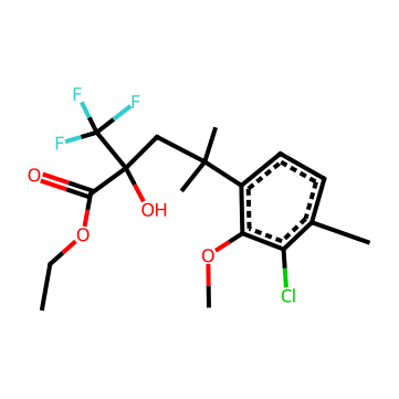 CCOC(=O)C(O)(CC(C)(C)c1ccc(C)c(Cl)c1OC)C(F)(F)F